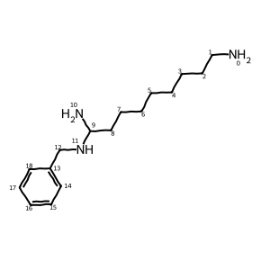 NCCCCCCCCC(N)NCc1ccccc1